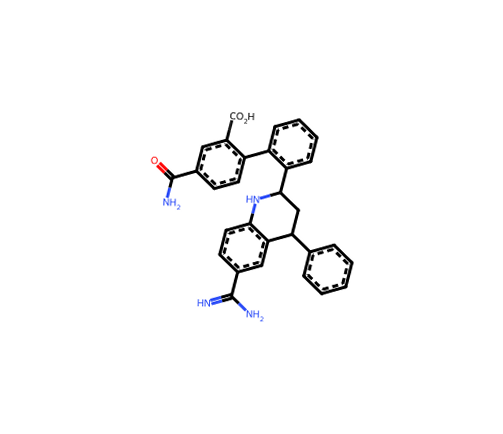 N=C(N)c1ccc2c(c1)C(c1ccccc1)CC(c1ccccc1-c1ccc(C(N)=O)cc1C(=O)O)N2